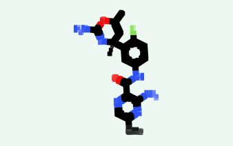 COc1cnc(C(=O)Nc2ccc(F)c([C@]3(C)C=C(C)OC(N)=N3)c2)c(N)n1